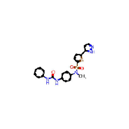 CN(c1ccc(NC(=O)Nc2ccccc2)cc1)S(=O)(=O)c1ccc(-c2ccn[nH]2)s1